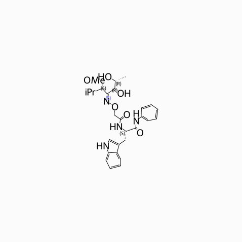 CO[C@H](/C(=N/OCC(=O)N[C@@H](Cc1c[nH]c2ccccc12)C(=O)Nc1ccccc1)[C@@H](O)[C@@H](C)O)C(C)C